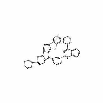 c1ccc(-c2ccc3c(c2)c2ccc4c(c2n3-c2cccc(-c3nc(-c5ccccc5)c5ccccc5n3)c2)Cc2ccccc2-4)cc1